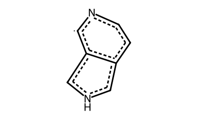 [c]1nccc2c[nH]cc12